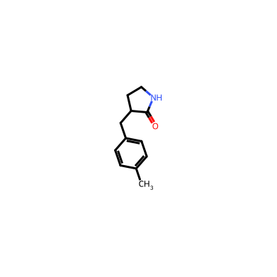 Cc1ccc(CC2CCNC2=O)cc1